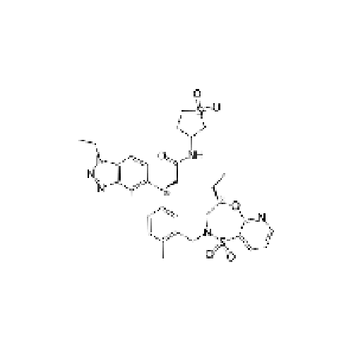 CC[C@@H]1CN(Cc2cc([C@H](CC(=O)NC3CCS(=O)(=O)C3)c3ccc4c(nnn4CC)c3C)ccc2C)S(=O)(=O)c2cccnc2O1